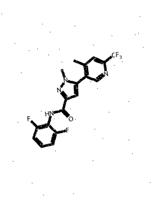 Cc1cc(C(F)(F)F)ncc1-c1cc(C(=O)Nc2c(F)cccc2F)nn1C